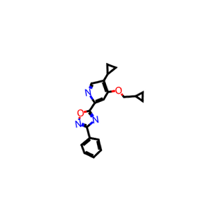 c1ccc(-c2noc(-c3cc(OCC4CC4)c(C4CC4)cn3)n2)cc1